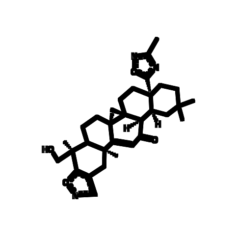 Cc1noc([C@]23CCC(C)(C)C[C@H]2[C@H]2C(=O)C=C4[C@@]5(C)Cc6cnoc6[C@@](C)(CO)C5CC[C@@]4(C)[C@]2(C)CC3)n1